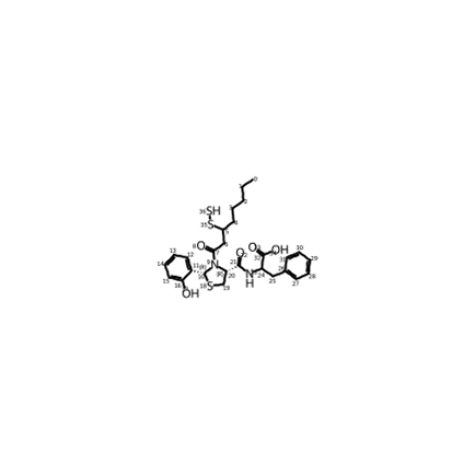 CCCCCC(CC(=O)N1[C@@H](c2ccccc2O)SC[C@H]1C(=O)NC(Cc1ccccc1)C(=O)O)SS